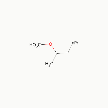 CCCCC(C)OC(=O)O